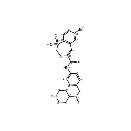 CN(Cc1ccc(NC(=O)C2=Cc3cc(Br)ccc3S(=O)(=O)CC2)cc1)C1CCOCC1